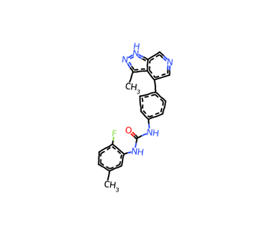 Cc1ccc(F)c(NC(=O)Nc2ccc(-c3cncc4[nH]nc(C)c34)cc2)c1